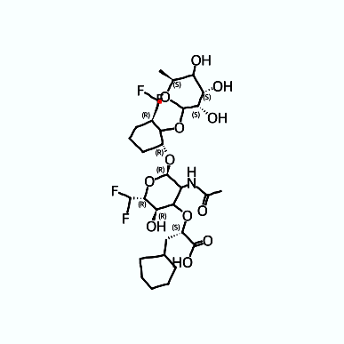 CC(=O)NC1C(O[C@@H](CC2CCCCC2)C(=O)O)[C@@H](O)[C@H](C(F)F)O[C@H]1O[C@@H]1CCC[C@@H](C(F)F)C1OC1O[C@@H](C)C(O)[C@H](O)[C@@H]1O